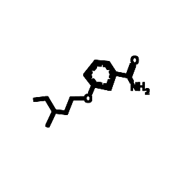 CCC(C)CCOc1cccc(C(N)=O)c1